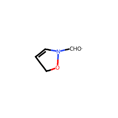 O=[C]N1C=CCO1